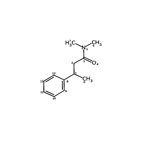 CC(CC(=O)N(C)C)c1ccccc1